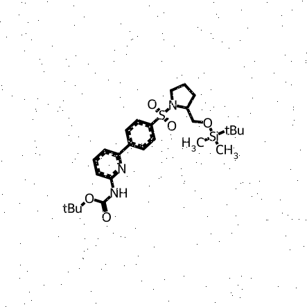 CC(C)(C)OC(=O)Nc1cccc(-c2ccc(S(=O)(=O)N3CCCC3CO[Si](C)(C)C(C)(C)C)cc2)n1